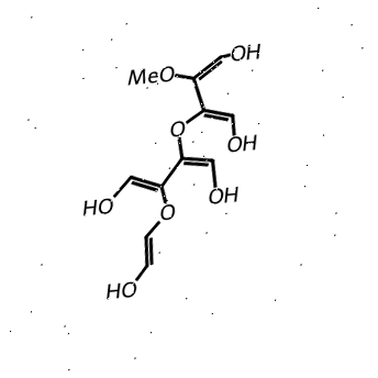 COC(=CO)C(=CO)OC(=CO)C(=CO)OC=CO